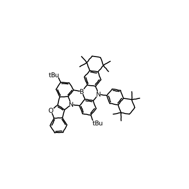 CC(C)(C)c1cc2c3c(c1)-n1c4c(cc(C(C)(C)C)cc4c4oc5ccccc5c41)B3c1cc3c(cc1N2c1ccc2c(c1)C(C)(C)CCC2(C)C)C(C)(C)CCC3(C)C